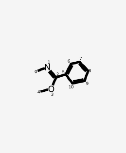 CN=C(OC)c1ccccc1